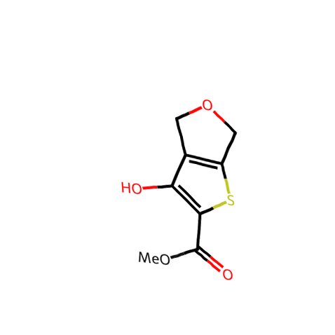 COC(=O)c1sc2c(c1O)COC2